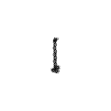 [N-]=[N+]=NCCOCCOCCOCCOCCOCCOCCOCCSC(c1ccccc1)(c1ccccc1)c1ccccc1